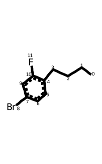 CCCCc1ccc(Br)cc1F